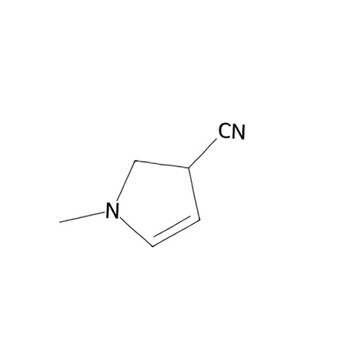 CN1C=CC(C#N)C1